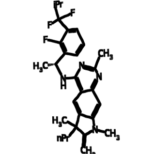 C=C1N(C)c2cc3nc(C)nc(N[C@H](C)c4cccc(C(F)(F)C(C)C)c4F)c3cc2C1(C)CCC